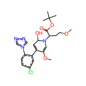 COCCC(C(=O)OC(C)(C)C)N1C=C(OC)C(c2cc(Cl)ccc2-n2cnnc2)=CC1O